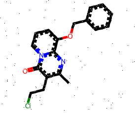 Cc1nc2c(OCc3ccccc3)cccn2c(=O)c1CCCl